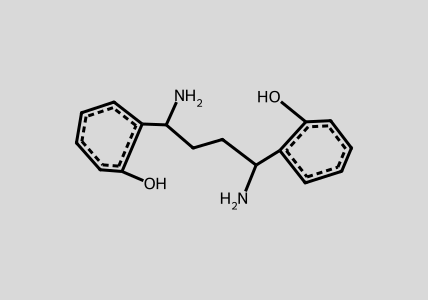 NC(CCC(N)c1ccccc1O)c1ccccc1O